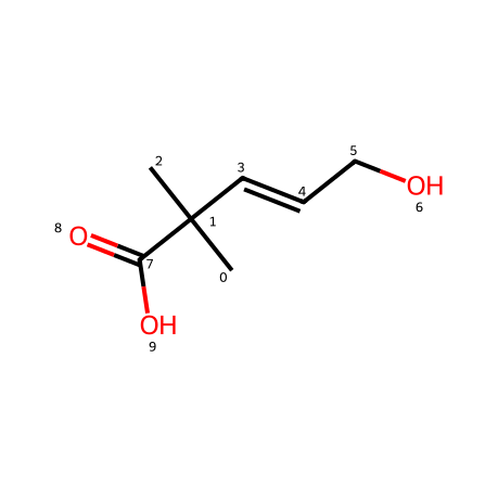 CC(C)(/C=C/CO)C(=O)O